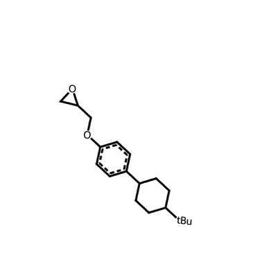 CC(C)(C)C1CCC(c2ccc(OCC3CO3)cc2)CC1